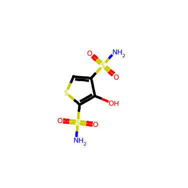 NS(=O)(=O)c1csc(S(N)(=O)=O)c1O